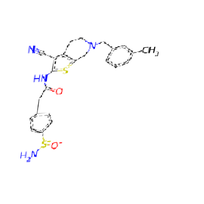 Cc1cccc(CN2CCc3c(sc(NC(=O)Cc4ccc([S+](N)[O-])cc4)c3C#N)C2)c1